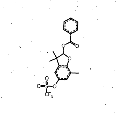 Cc1cc(OS(=O)(=O)C(F)(F)F)cc2c1OC(OC(=O)c1ccccc1)C2(C)C